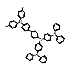 Cc1ccc(N(c2ccc(C)cc2)c2ccc(-c3ccc(N(c4ccc(N(c5ccccc5)c5ccccc5)cc4)c4ccc(N(c5ccccc5)c5ccccc5)cc4)cc3)cc2)cc1